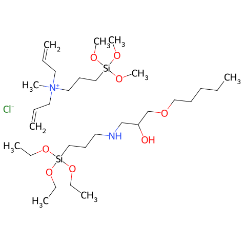 C=CC[N+](C)(CC=C)CCC[Si](OC)(OC)OC.CCCCCOCC(O)CNCCC[Si](OCC)(OCC)OCC.[Cl-]